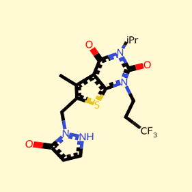 Cc1c(Cn2[nH]ccc2=O)sc2c1c(=O)n(C(C)C)c(=O)n2CCC(F)(F)F